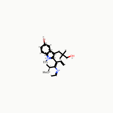 C=C/C(=C(\N=C/C)[C@H](C)OC)c1c(CC(C)(C)CO)c2cc(Br)ccc2n1CC